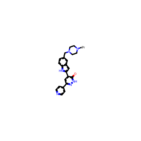 CC(C)N1CCN(Cc2ccc3[nH]c(-c4cc(-c5ccncc5)n[nH]c4=O)cc3c2)CC1